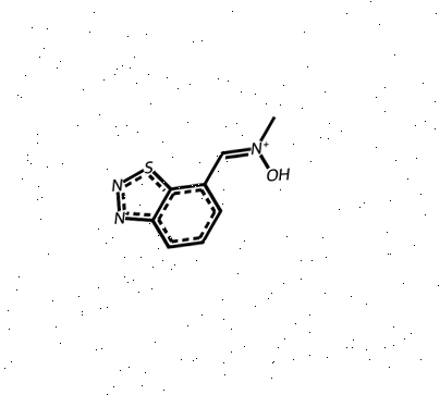 C[N+](O)=Cc1cccc2nnsc12